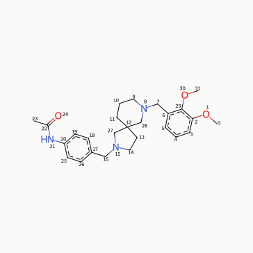 COc1cccc(CN2CCCC3(CCN(Cc4ccc(NC(C)=O)cc4)C3)C2)c1OC